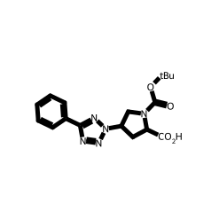 CC(C)(C)OC(=O)N1CC(n2nnc(-c3ccccc3)n2)CC1C(=O)O